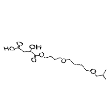 CC(C)COCCCCOCCCCOC(=O)C(O)CC(=O)O